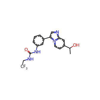 CC(O)c1ccn2c(-c3cccc(NC(=O)NCC(F)(F)F)c3)cnc2c1